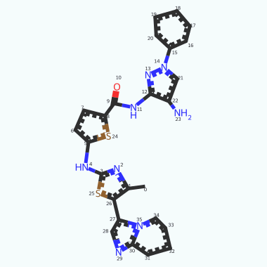 Cc1nc(Nc2ccc(C(=O)Nc3nn(-c4ccccc4)cc3N)s2)sc1-c1cnc2ccccn12